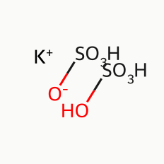 O=S(=O)(O)O.O=S(=O)([O-])O.[K+]